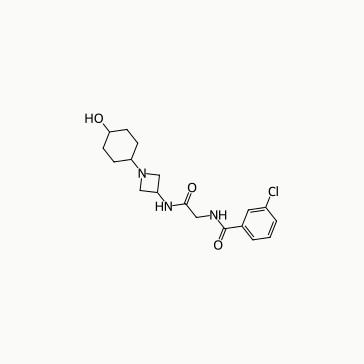 O=C(CNC(=O)c1cccc(Cl)c1)NC1CN(C2CCC(O)CC2)C1